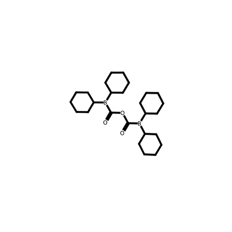 O=C(OC(=O)B(C1CCCCC1)C1CCCCC1)B(C1CCCCC1)C1CCCCC1